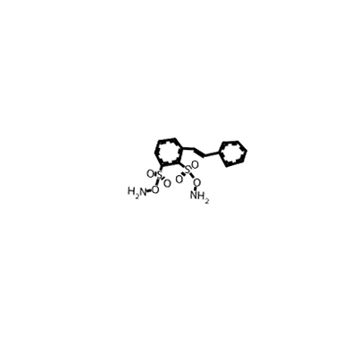 NOS(=O)(=O)c1cccc(C=Cc2ccccc2)c1S(=O)(=O)ON